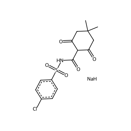 CC1(C)CC(=O)C(C(=O)NS(=O)(=O)c2ccc(Cl)cc2)C(=O)C1.[NaH]